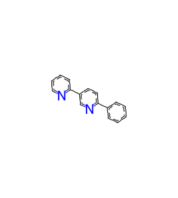 c1ccc(-c2ccc(-c3ccccn3)cn2)cc1